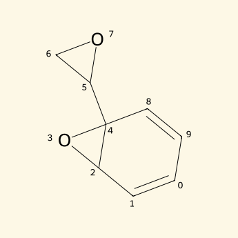 C1=CC2OC2(C2CO2)C=C1